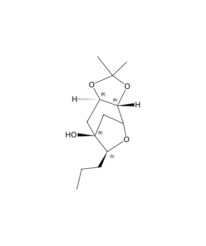 CCC[C@@H]1OC2C[C@@]1(O)C[C@H]1OC(C)(C)O[C@H]21